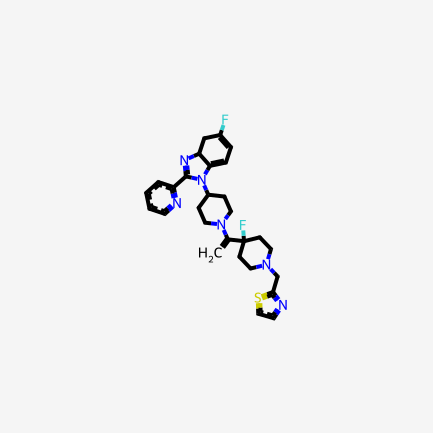 C=C(N1CCC(N2C3=CC=C(F)CC3N=C2c2ccccn2)CC1)C1(F)CCN(Cc2nccs2)CC1